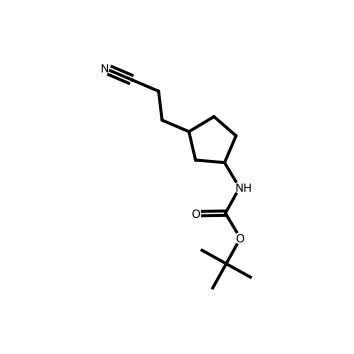 CC(C)(C)OC(=O)NC1CCC(CCC#N)C1